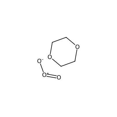 C1COCCO1.O=[O+][O-]